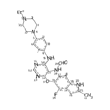 CCN1CCN(c2ccc(Nc3ncnc(Oc4ccc5[nH]c(C)cc5c4F)c3NC=O)cc2)CC1